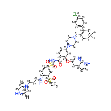 CC1(C)CCC(CN2CCN(c3ccc(C(=O)NS(=O)(=O)c4ccc(NCCCN5C[C@@H]6C[C@H]5CN6)c(S(=O)(=O)C(F)(F)F)c4)c(Oc4cnc5[nH]ccc5c4)c3)CC2)=C(c2ccc(Cl)cc2)C1